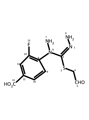 N/N=C(/SCC=O)N(N)c1ccc(C(=O)O)cc1F